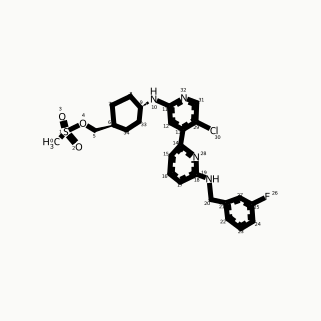 CS(=O)(=O)OC[C@H]1CC[C@H](Nc2cc(-c3cccc(NCc4cccc(F)c4)n3)c(Cl)cn2)CC1